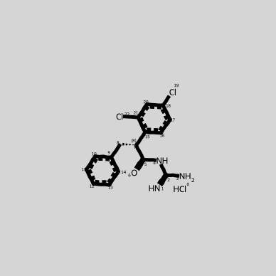 Cl.N=C(N)NC(=O)[C@H](Cc1ccccc1)c1ccc(Cl)cc1Cl